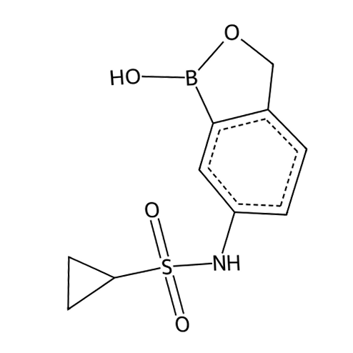 O=S(=O)(Nc1ccc2c(c1)B(O)OC2)C1CC1